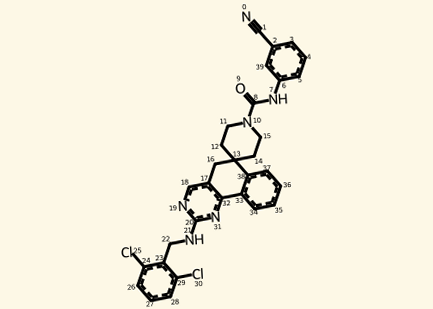 N#Cc1cccc(NC(=O)N2CCC3(CC2)Cc2cnc(NCc4c(Cl)cccc4Cl)nc2-c2ccccc23)c1